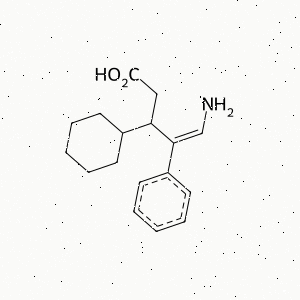 NC=C(c1ccccc1)C(CC(=O)O)C1CCCCC1